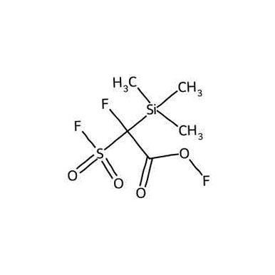 C[Si](C)(C)C(F)(C(=O)OF)S(=O)(=O)F